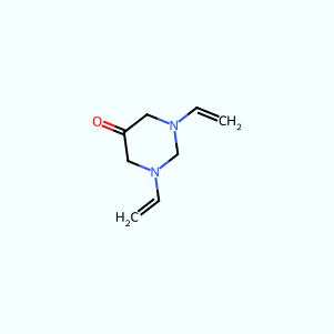 C=CN1CC(=O)CN(C=C)C1